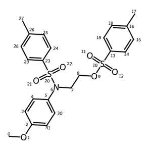 COc1ccc(N(CCOS(=O)(=O)c2ccc(C)cc2)S(=O)(=O)c2ccc(C)cc2)cc1